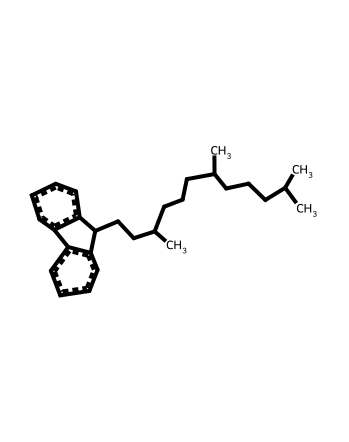 CC(C)CCCC(C)CCCC(C)CCC1c2ccccc2-c2ccccc21